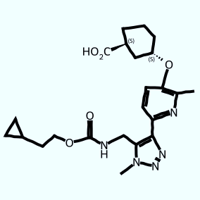 Cc1nc(-c2nnn(C)c2CNC(=O)OCCC2CC2)ccc1O[C@H]1CCC[C@H](C(=O)O)C1